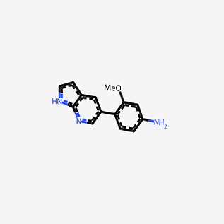 COc1cc(N)ccc1-c1cnc2[nH]ccc2c1